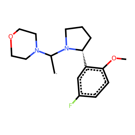 [CH2]C(N1CCOCC1)N1CCC[C@@H]1c1cc(F)ccc1OC